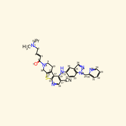 CC(C)N(C)CC=CC(=O)N1CCc2c(sc3ncc(C#N)c(Nc4ccc5c(cnn5Cc5ccccn5)c4)c23)C1